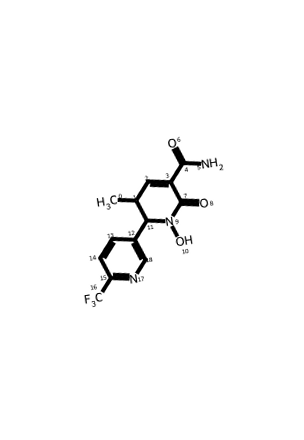 CC1C=C(C(N)=O)C(=O)N(O)C1c1ccc(C(F)(F)F)nc1